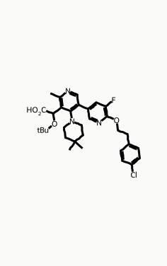 Cc1ncc(-c2cnc(OCCc3ccc(Cl)cc3)c(F)c2)c(N2CCC(C)(C)CC2)c1C(OC(C)(C)C)C(=O)O